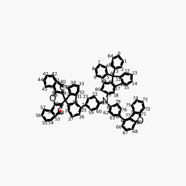 c1ccc(C2(c3ccccc3)c3ccccc3-c3cc(N(c4ccc(-c5cccc6c5-c5ccccc5C65c6ccc7ccccc7c6Oc6c5ccc5ccccc65)cc4)c4ccc(-c5cccc6oc7ccccc7c56)cc4)ccc32)cc1